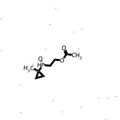 CC(=O)OCC[PH](=O)C1(C)CC1